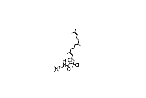 CC(C)=CCCC(C)=CCCC(C)=CCCC(C)(Cl)C(Cl)C(=O)NCC[N+](C)(C)C